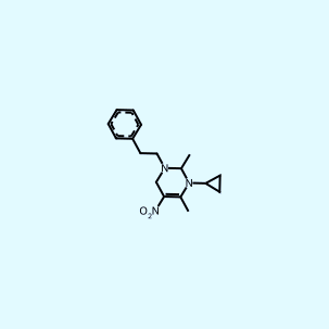 CC1=C([N+](=O)[O-])CN(CCc2ccccc2)C(C)N1C1CC1